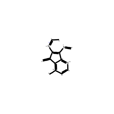 C=NC1=C(/N=C\C)C(=C)c2c(C)ccnc21